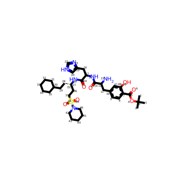 CC(C)(C)OC(=O)c1ccc(CC(N)C(=O)NC(Cc2c[nH]cn2)C(=O)N[C@@H](CCC2CCCCC2)CCS(=O)(=O)N2CCCCC2)cc1O